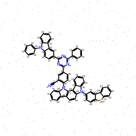 N#Cc1cc(-c2nc(-c3ccccc3)nc(-c3ccc4c(c3)c3ccccc3n4-c3ccccc3)n2)ccc1-n1c2ccccc2c2ccc3c(c4ccccc4n3-c3ccc4sc5ccccc5c4c3)c21